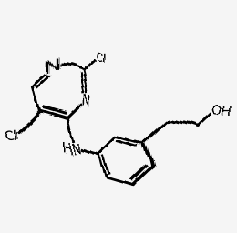 OCCc1cccc(Nc2nc(Cl)ncc2Cl)c1